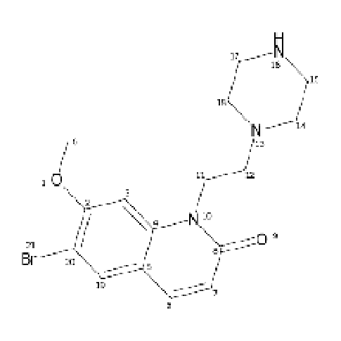 COc1cc2c(ccc(=O)n2CCN2CCNCC2)cc1Br